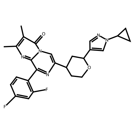 Cc1nc2c(-c3ccc(F)cc3F)nc(C3CCOC(c4cnn(C5CC5)c4)C3)cn2c(=O)c1C